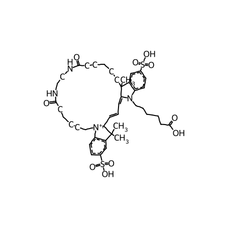 CC1(C)C2=[N+](CCCCCC(=O)NCCNC(=O)CCCCCC3(C)/C(=C/C=C/2)N(CCCCCC(=O)O)c2ccc(S(=O)(=O)O)cc23)c2ccc(S(=O)(=O)O)cc21